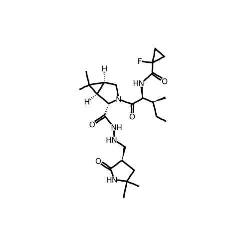 CC[C@H](C)[C@H](NC(=O)C1(F)CC1)C(=O)N1C[C@H]2[C@@H]([C@H]1C(=O)NNC[C@H]1CC(C)(C)NC1=O)C2(C)C